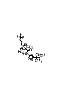 CC(C)(CO)c1cc(NC(=O)C(C)(C)S(=O)(=O)CCCC(F)(F)F)no1